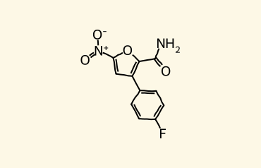 NC(=O)c1oc([N+](=O)[O-])cc1-c1ccc(F)cc1